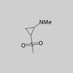 CNC1CC1S(C)(=O)=O